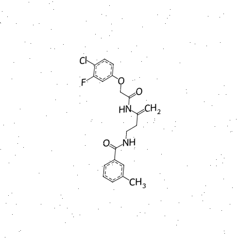 C=C(CCNC(=O)c1cccc(C)c1)NC(=O)COc1ccc(Cl)c(F)c1